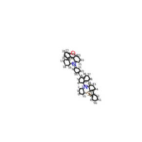 c1ccc(N(c2ccc(-c3ccc(N(c4ccccc4)c4cccc5oc6ccccc6c45)cc3)c3ccccc23)c2cccc3c2sc2ccccc23)cc1